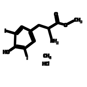 C.COC(=O)C(N)Cc1cc(I)c(O)c(I)c1.Cl